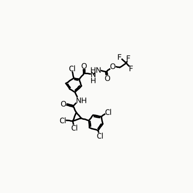 O=C(NNC(=O)c1cc(NC(=O)C2C(c3cc(Cl)cc(Cl)c3)C2(Cl)Cl)ccc1Cl)OCC(F)(F)F